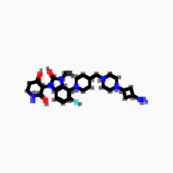 Cn1c(=O)n(C2C(=O)CCNC2=O)c2ccc(F)c(N3CCC(CN4CCN(C5CC(N)C5)CC4)CC3)c21